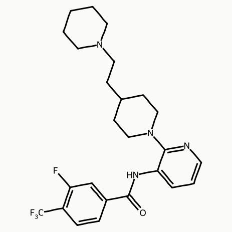 O=C(Nc1cccnc1N1CCC(CCN2CCCCC2)CC1)c1ccc(C(F)(F)F)c(F)c1